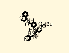 CC(C)(C)OC(=O)N1CC[C@@](Nc2cccc(C(=O)N[C@H]3CCOc4ccccc43)c2)(c2nnc(-c3ccncc3)[nH]2)C1